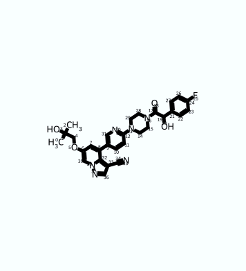 CC(C)(O)COc1cc(-c2ccc(N3CCN(C(=O)C(O)c4ccc(F)cc4)CC3)nc2)c2c(C#N)cnn2c1